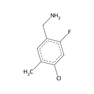 [CH2]c1cc(CN)c(F)cc1Cl